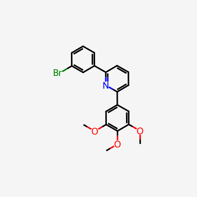 COc1cc(-c2cccc(-c3cccc(Br)c3)n2)cc(OC)c1OC